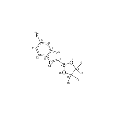 CC1(C)OB(c2cc3cc(F)ccc3o2)OC1(C)C